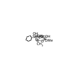 CO[Si](O)(OC)O[Si](C)(C)O[Si](O)(OC)c1ccccc1